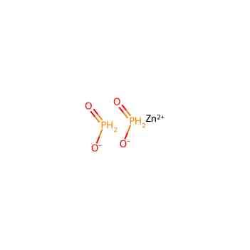 O=[PH2][O-].O=[PH2][O-].[Zn+2]